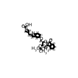 CC(C)(C)OC(=O)[C@H](COc1ccc2nn(CC3CN(C(=O)O)C3)cc2c1)ON1C(=O)c2ccccc2C1=O